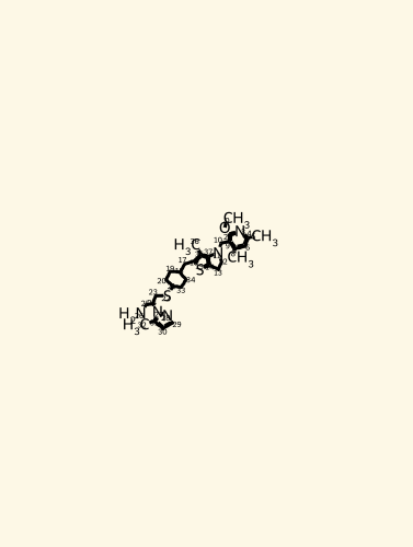 COc1nc(C)cc(C)c1CN1CCc2sc(CC3CCC(SCC(CN)n4nccc4C)CC3)c(C)c21